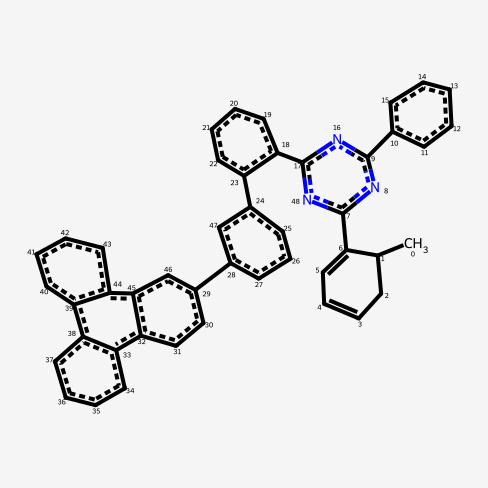 CC1CC=CC=C1c1nc(-c2ccccc2)nc(-c2ccccc2-c2cccc(-c3ccc4c5ccccc5c5ccccc5c4c3)c2)n1